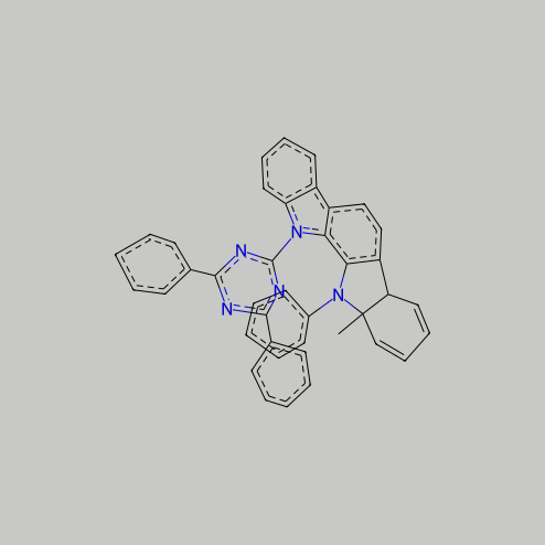 CC12C=CC=CC1c1ccc3c4ccccc4n(-c4nc(-c5ccccc5)nc(-c5ccccc5)n4)c3c1N2c1ccccc1